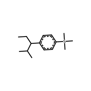 CCC(c1ccc(S(C)(C)C)cc1)C(C)C